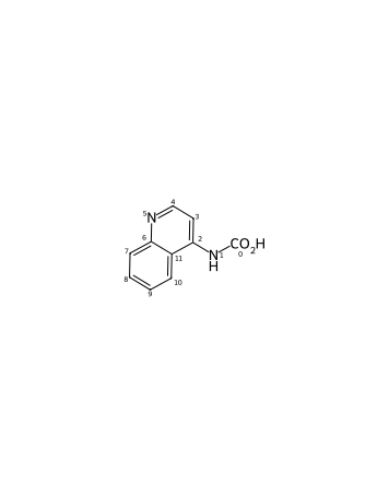 O=C(O)Nc1ccnc2ccccc12